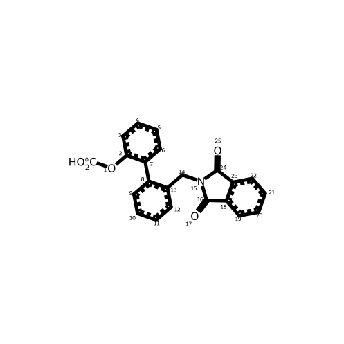 O=C(O)Oc1ccccc1-c1ccccc1CN1C(=O)c2ccccc2C1=O